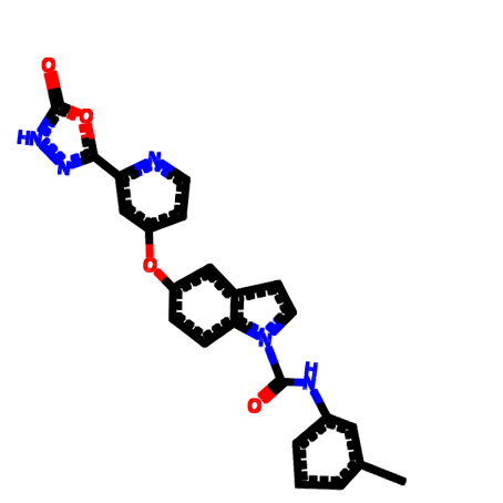 Cc1cccc(NC(=O)n2ccc3cc(Oc4ccnc(-c5n[nH]c(=O)o5)c4)ccc32)c1